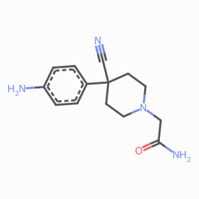 N#CC1(c2ccc(N)cc2)CCN(CC(N)=O)CC1